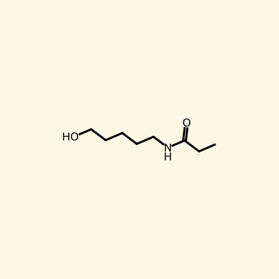 CCC(=O)NCCCCCO